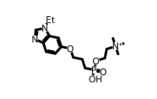 CCn1cnc2ccc(OCCCP(=O)(O)OCC[N+](C)(C)C)cc21